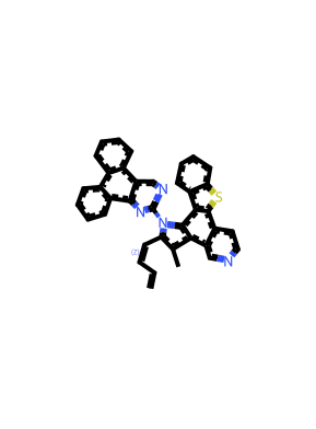 C=C/C=C\c1c(C)c2c3cnccc3c3sc4ccccc4c3c2n1-c1ncc2c3ccccc3c3ccccc3c2n1